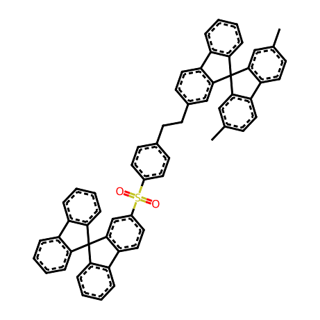 Cc1ccc2c(c1)C1(c3ccccc3-c3ccc(CCc4ccc(S(=O)(=O)c5ccc6c(c5)C5(c7ccccc7-c7ccccc75)c5ccccc5-6)cc4)cc31)c1cc(C)ccc1-2